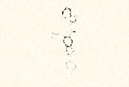 O=C(Nc1cnc2cccnn12)c1cc2cn([C@H]3CC[C@H](O)CC3)nc2cc1OC1CC1